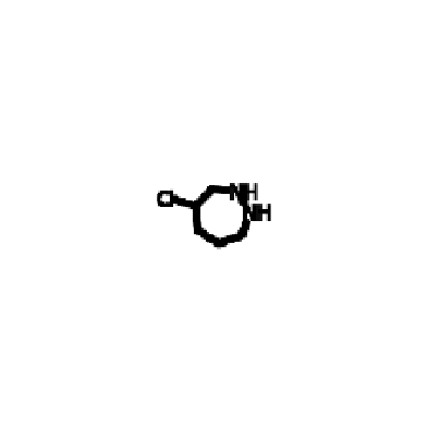 ClC1CCCNNC1